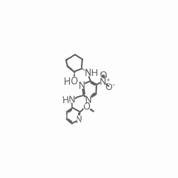 COc1ncccc1Nc1ncc([N+](=O)[O-])c(N[C@H]2CCCC[C@@H]2O)n1